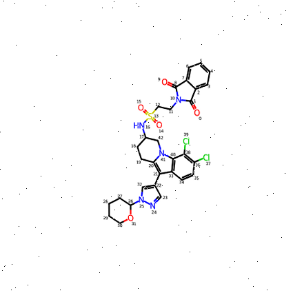 O=C1c2ccccc2C(=O)N1CCS(=O)(=O)NC1CCc2c(-c3cnn(C4CCCCO4)c3)c3ccc(Cl)c(Cl)c3n2C1